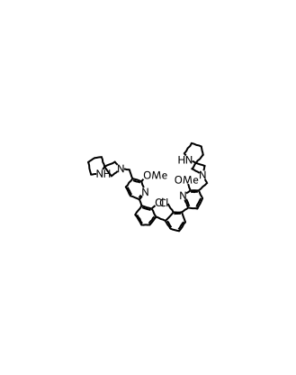 COc1nc(-c2cccc(-c3cccc(-c4ccc(CN5CC6(CCCCN6)C5)c(OC)n4)c3Cl)c2Cl)ccc1CN1CC2(CCCCN2)C1